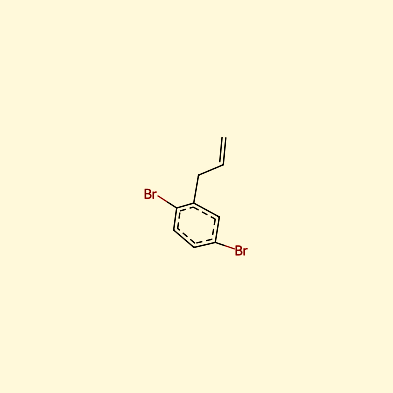 C=CCc1cc(Br)ccc1Br